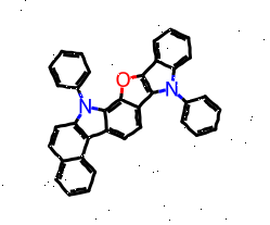 c1ccc(-n2c3ccccc3c3oc4c(ccc5c6c7ccccc7ccc6n(-c6ccccc6)c54)c32)cc1